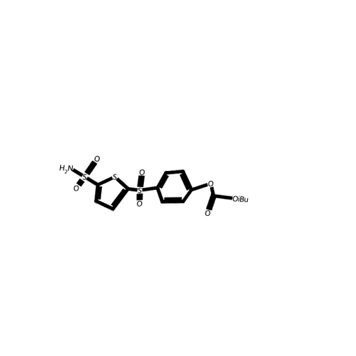 CC(C)COC(=O)Oc1ccc(S(=O)(=O)c2ccc(S(N)(=O)=O)s2)cc1